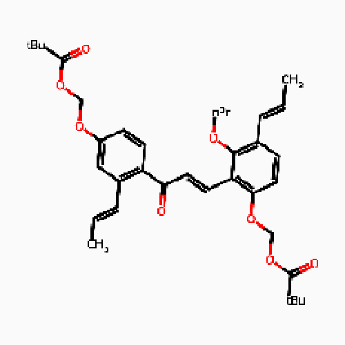 C/C=C/c1cc(OCOC(=O)C(C)(C)C)ccc1C(=O)/C=C/c1c(OCOC(=O)C(C)(C)C)ccc(/C=C/C)c1OCCC